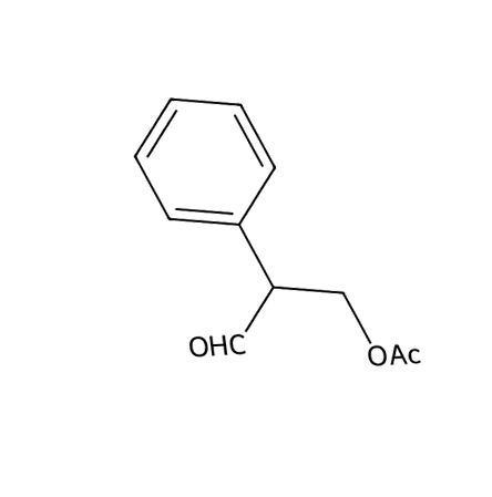 CC(=O)OCC(C=O)c1ccccc1